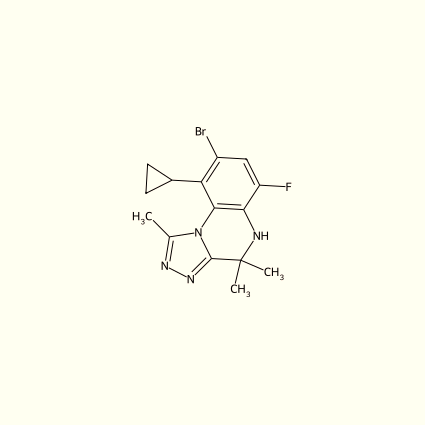 Cc1nnc2n1-c1c(c(F)cc(Br)c1C1CC1)NC2(C)C